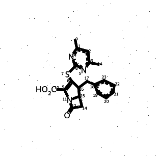 Cc1cc(C)nc(SC2=C(C(=O)O)N3C(=O)CC3C2Cc2ccccc2)n1